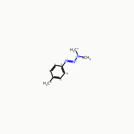 Cc1ccc(N=NN(C)C)cc1